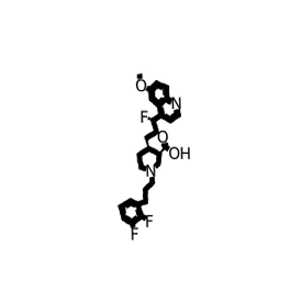 COc1ccc2nccc([C@H](F)CC[C@@H]3CCN(CCCc4cccc(F)c4F)C[C@@H]3C(=O)O)c2c1